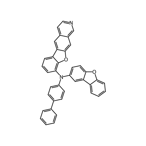 c1ccc(-c2ccc(N(c3ccc4oc5ccccc5c4c3)c3cccc4c3oc3cc5cnccc5cc34)cc2)cc1